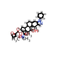 CON(C)C(=O)[C@@]1(OC(=O)c2ccco2)CCC2C3CCC4=Cc5c(cnn5-c5ccccc5)C[C@]4(C)C3C(O)C[C@@]21C